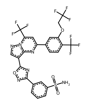 NS(=O)(=O)c1cccc(-c2noc(-c3cnn4c(C(F)(F)F)cc(-c5ccc(C(F)(F)F)c(OCC(F)(F)F)c5)nc34)n2)c1